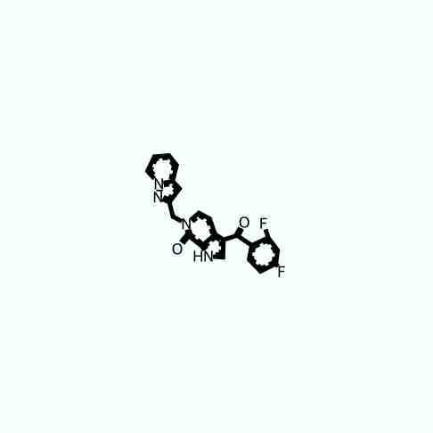 O=C(c1ccc(F)cc1F)c1c[nH]c2c(=O)n(Cc3cc4ccccn4n3)ccc12